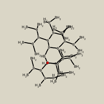 BBB(B)B(B(B)B)B(BB(B(B(B(B)B)B(B)B)B(B(B)B)B(B)B)B(B(B(B)B)B(B)B)B(B(B)B)B(B)B)B(B(B)B)B(B)B